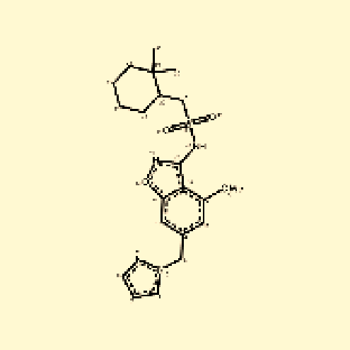 COc1cc(Cn2cccn2)cc2onc(NS(=O)(=O)CC3CCCCC3(C)C)c12